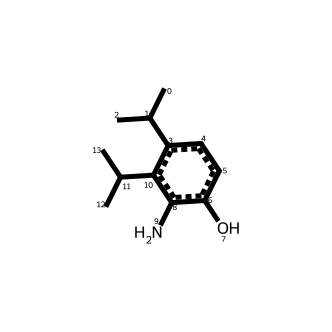 CC(C)c1ccc(O)c(N)c1C(C)C